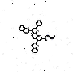 C=C(/C=C\C=C/C)c1cc(-c2ccc3ccccc3n2)c2ccc3c(-c4ccc5ccccc5n4)cc(-c4ccccc4)nc3c2n1